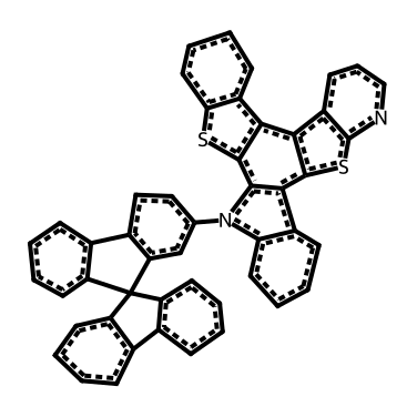 c1ccc2c(c1)-c1ccccc1C21c2ccccc2-c2ccc(-n3c4ccccc4c4c5sc6ncccc6c5c5c6ccccc6sc5c43)cc21